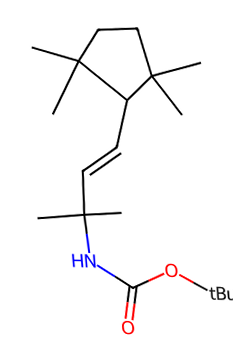 CC(C)(C=CC1C(C)(C)CCC1(C)C)NC(=O)OC(C)(C)C